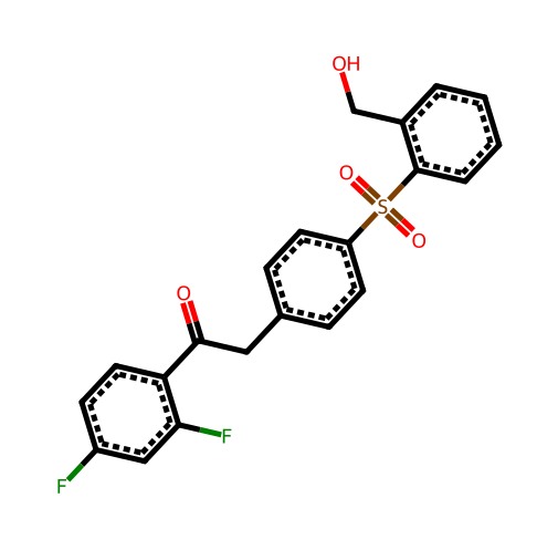 O=C(Cc1ccc(S(=O)(=O)c2ccccc2CO)cc1)c1ccc(F)cc1F